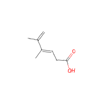 C=C(C)C(C)=CCC(=O)O